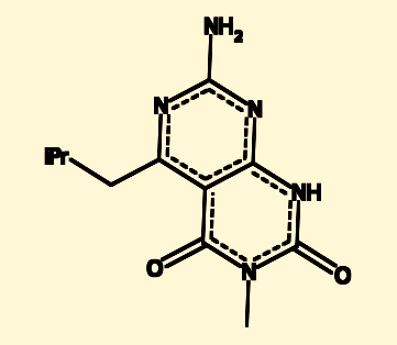 CC(C)Cc1nc(N)nc2[nH]c(=O)n(C)c(=O)c12